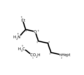 CC(=O)O.CCCCCCCCCCOC(N)CC